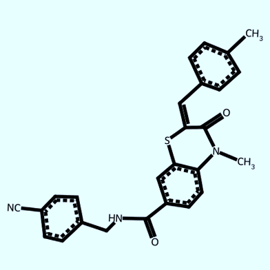 Cc1ccc(C=C2Sc3cc(C(=O)NCc4ccc(C#N)cc4)ccc3N(C)C2=O)cc1